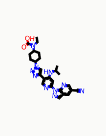 CCN(C(=O)O)C1CCC(n2cc(-c3cnc(-n4ncc5cc(C#N)cnc54)cc3NC(C)C)nn2)CC1